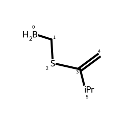 BCSC(=C)C(C)C